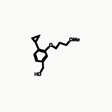 COCCCOc1cc(CO)ccc1C1CC1